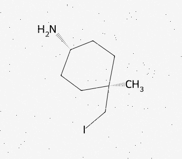 C[C@]1(CI)CC[C@H](N)CC1